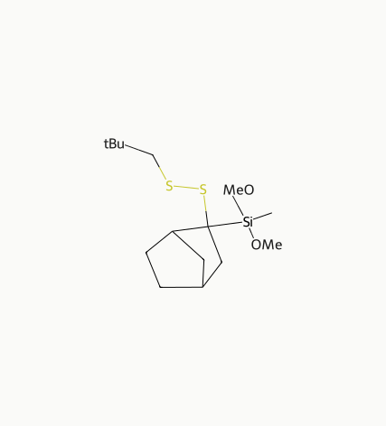 CO[Si](C)(OC)C1(SSCC(C)(C)C)CC2CCC1C2